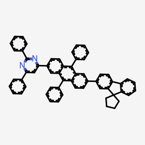 c1ccc(-c2cc(-c3ccc4c(-c5ccccc5)c5cc(-c6ccc7c(c6)C6(CCCC6)c6ccccc6-7)ccc5c(-c5ccccc5)c4c3)nc(-c3ccccc3)n2)cc1